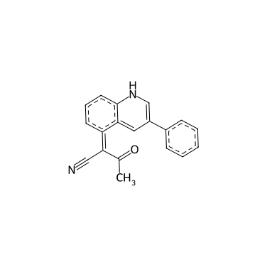 CC(=O)C(C#N)=c1cccc2c1=CC(c1ccccc1)=CN2